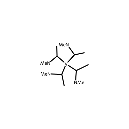 CN[CH](C)[V]([CH](C)NC)([CH](C)NC)[CH](C)NC